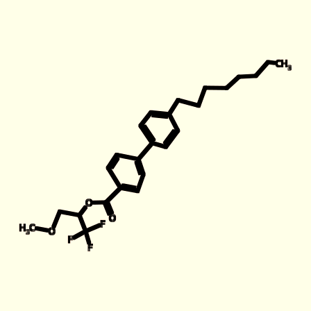 CCCCCCCCc1ccc(-c2ccc(C(=O)OC(COC)C(F)(F)F)cc2)cc1